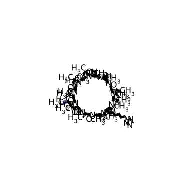 C/C=C/C[C@@H](C)[C@@H](O)[C@H]1C(=O)N[C@@H](CC)C(=O)N(C)CC(=O)N(C)[C@@H]([C@@H](C)OCCCCn2ncnn2)C(=O)N[C@@H](C(C)C)C(=O)N(C)[C@@H](CC(C)C)C(=O)N[C@@H](C)C(=O)N[C@H](C)C(=O)N(C)[C@@H](CC(C)C)C(=O)N(C)[C@H](CC(C)C)C(=O)N(C)[C@@H](C(C)C)C(=O)N1C